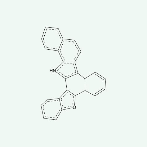 C1=CC2c3oc4ccccc4c3-c3[nH]c4c(ccc5ccccc54)c3C2C=C1